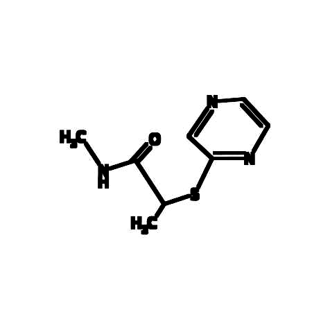 CNC(=O)C(C)Sc1cnccn1